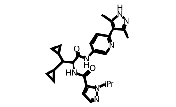 Cc1n[nH]c(C)c1-c1ccc(NC(=O)[C@@H](NC(=O)c2ccnn2C(C)C)C(C2CC2)C2CC2)cn1